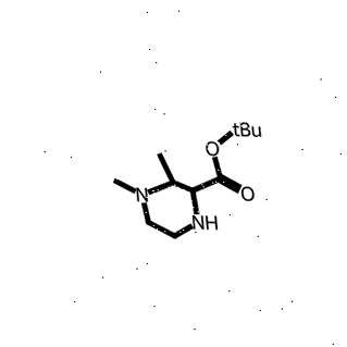 CC1C(C(=O)OC(C)(C)C)NCCN1C